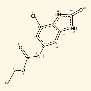 CCOC(=O)Nc1cc(Cl)c2[nH]c(=O)[nH]c2n1